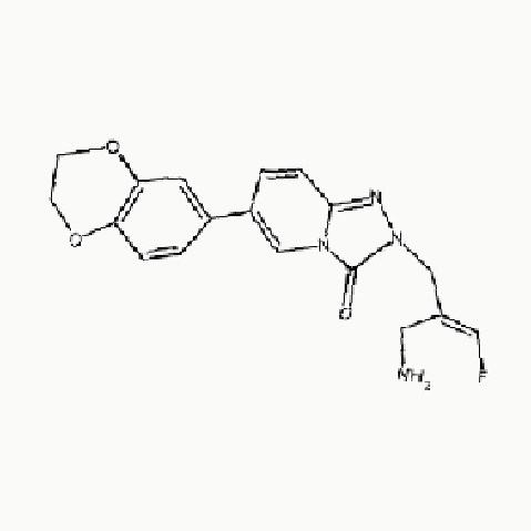 NC/C(=C\F)Cn1nc2ccc(-c3ccc4c(c3)OCCO4)cn2c1=O